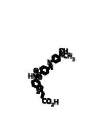 CN(C)c1ccc(/N=N/c2ccc(S(=O)(=O)Nc3ccc4sc(/C=C/C(=O)O)cc4c3)cc2)cc1